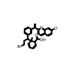 C=C(c1cccc(C(CCBr)C2(C)C=CC=CC2C(=O)O)c1)c1ccc2ccc(Cl)cc2n1